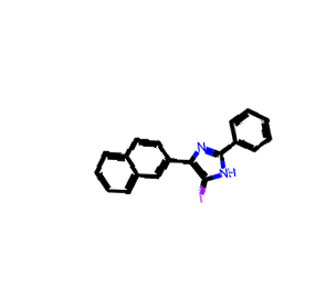 Ic1[nH]c(-c2ccccc2)nc1-c1ccc2ccccc2c1